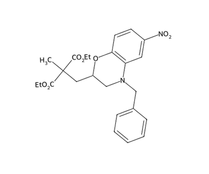 CCOC(=O)C(C)(CC1CN(Cc2ccccc2)c2cc([N+](=O)[O-])ccc2O1)C(=O)OCC